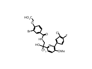 COc1ccc(C(O)(CNC(=O)c2ccc(OCC(=O)O)c(Br)c2)C(F)(F)F)nc1-c1ccc(F)c(Cl)c1